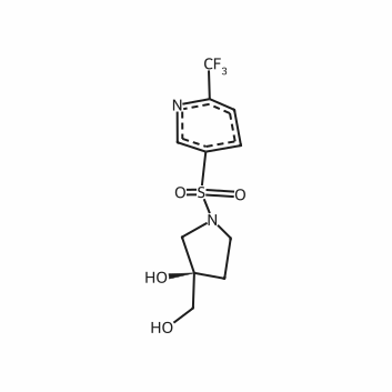 O=S(=O)(c1ccc(C(F)(F)F)nc1)N1CC[C@](O)(CO)C1